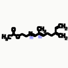 C=CC(=C)CC/C=C(C)/C=N/CCOC(C)=O